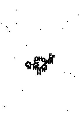 O=C(NCC(F)(F)F)c1ccnc(Nc2nc(-c3ccccn3)c(CO)s2)c1